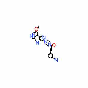 CCOc1cc(-c2ccc(N3CCN(C(=O)C#Cc4cccc(C#N)c4)CC3)nc2)c2c(C#N)cnn2c1